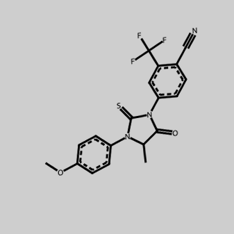 COc1ccc(N2C(=S)N(c3ccc(C#N)c(C(F)(F)F)c3)C(=O)C2C)cc1